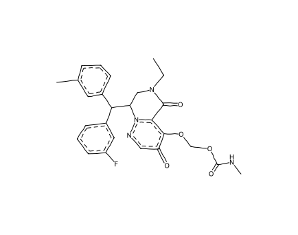 CCN1CC(C(c2cccc(C)c2)c2cccc(F)c2)n2ncc(=O)c(OCOC(=O)NC)c2C1=O